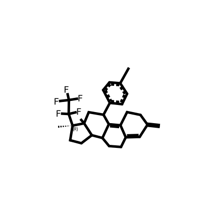 C=C1C=C2CCC3C(=C2CC1)C(c1ccc(C)cc1)CC1(C)C3CC[C@@]1(C)C(F)(F)C(F)(F)F